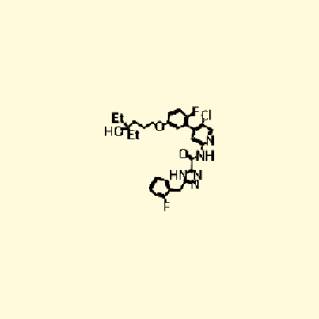 CCC(O)(CC)CCCOc1ccc(F)c(-c2cc(NC(=O)c3nnc(Cc4ccccc4F)[nH]3)ncc2Cl)c1